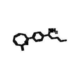 C=C1/C=C\C=C/C/C(c2ccc(C(N)CCCC)cc2)=N\1